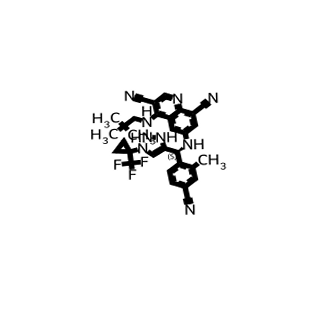 Cc1cc(C#N)ccc1[C@H](Nc1cc(C#N)c2ncc(C#N)c(NCC(C)(C)C)c2c1)C1=CN(C2(C(F)(F)F)CC2)NN1